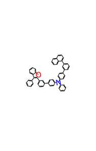 c1ccc(-c2c(-c3cccc(-c4ccc(N(c5ccccc5)c5ccc(-c6cccc(-c7cccc8ccccc78)c6)cc5)cc4)c3)oc3ccccc23)cc1